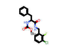 CC(C)(C)OC(=O)NC(Cc1ccccc1)C(=O)NCc1cccc(Cl)c1F